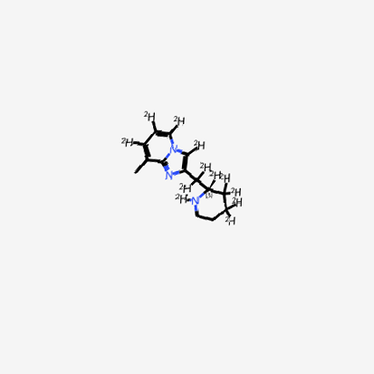 [2H]c1c([2H])c([2H])n2c([2H])c(C([2H])([2H])[C@@]3([2H])N([2H])CCC([2H])([2H])C3([2H])[2H])nc2c1C